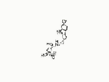 COc1ccc2c(c1)[nH]c1cc(OCCNC[C@@H](O)c3ccc(O)c(NS(C)(=O)=O)c3)ccc12